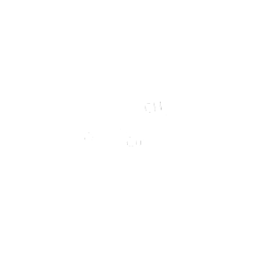 CCC=O.[Cu]